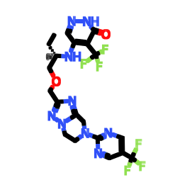 CC[C@@H](COCc1nc2n(n1)CCN(c1ncc(C(F)(F)F)cn1)C2)Nc1cn[nH]c(=O)c1C(F)(F)F